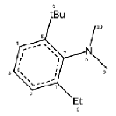 CCc1cccc(C(C)(C)C)c1N(C)C